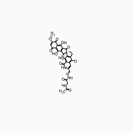 COC1=CC(=O)c2c(O)c3c(c(O)c2C1=O)C(=O)[C@]1(CCc2c1c(O)c1c(=O)[nH]c(C=NNC(=O)CNC(C)=O)cc1c2Cl)C3=O